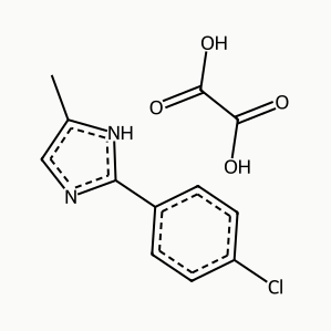 Cc1cnc(-c2ccc(Cl)cc2)[nH]1.O=C(O)C(=O)O